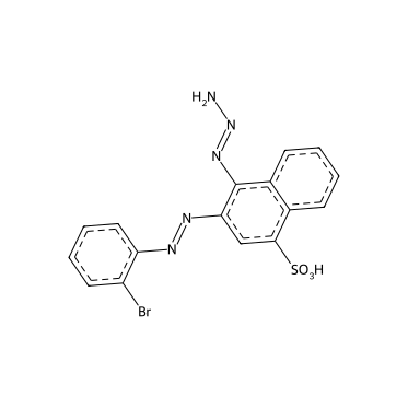 NN=Nc1c(/N=N/c2ccccc2Br)cc(S(=O)(=O)O)c2ccccc12